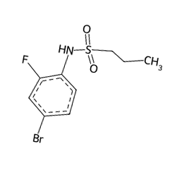 CCCS(=O)(=O)Nc1ccc(Br)cc1F